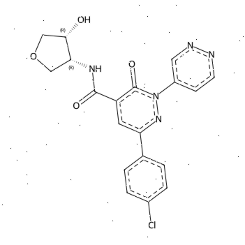 O=C(N[C@@H]1COC[C@@H]1O)c1cc(-c2ccc(Cl)cc2)nn(-c2ccnnc2)c1=O